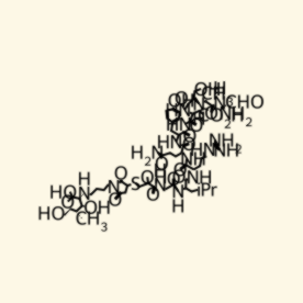 CC(C)CC(NC(=O)CNC(=O)C(O)CSC1CC(=O)N(CCCCN[C@H]2C(O)O[C@H](CO)[C@@H](C)[C@@H]2O)C1=O)C(=O)NC(CCCNC(=N)N)C(=O)NC(CCC(N)=O)C(=O)NC(Cc1ccc(O)cc1)C(=O)NC(=O)C(CC(=O)O)NC(=O)C(CO)NC(C)C(=O)NC(N)C=O